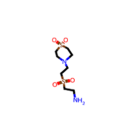 NCCS(=O)(=O)CCN1CCS(=O)(=O)CC1